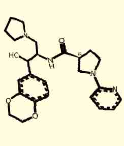 O=C(NC(CN1CCCC1)C(O)c1ccc2c(c1)OCCO2)[C@H]1CCN(c2ccccn2)C1